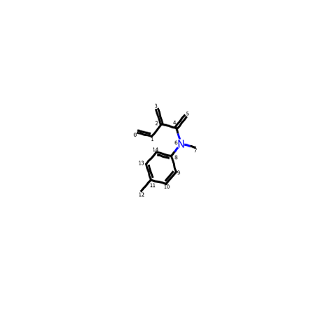 C=CC(=C)C(=C)N(C)c1ccc(C)cc1